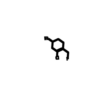 CCC1CCC(CF)=C(Cl)C1